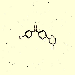 Clc1ccc(Nc2ccc(C3CNCCO3)cc2)cc1